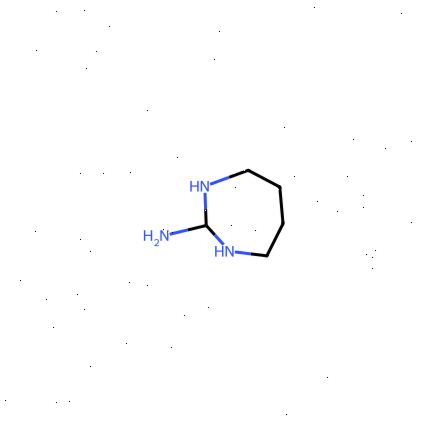 NC1NCCCCN1